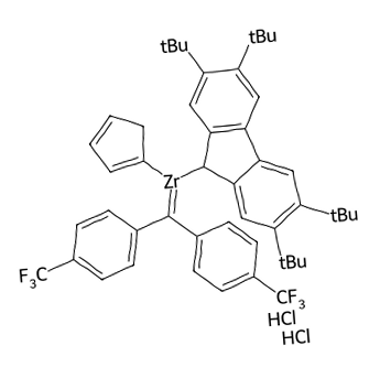 CC(C)(C)c1cc2c(cc1C(C)(C)C)[CH]([Zr]([C]1=CC=CC1)=[C](c1ccc(C(F)(F)F)cc1)c1ccc(C(F)(F)F)cc1)c1cc(C(C)(C)C)c(C(C)(C)C)cc1-2.Cl.Cl